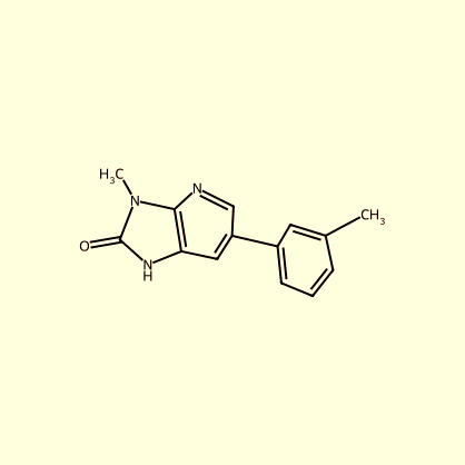 Cc1cccc(-c2cnc3c(c2)[nH]c(=O)n3C)c1